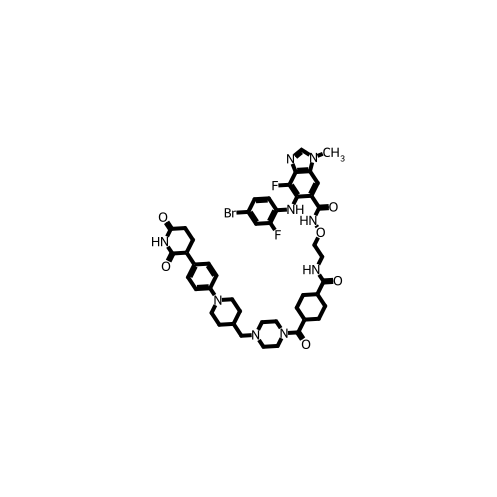 Cn1cnc2c(F)c(Nc3ccc(Br)cc3F)c(C(=O)NOCCNC(=O)C3CCC(C(=O)N4CCN(CC5CCN(c6ccc(C7CCC(=O)NC7=O)cc6)CC5)CC4)CC3)cc21